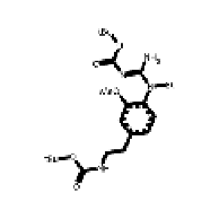 CCN(C(N)=NC(=O)OC(C)(C)C)c1ccc(CCNC(=O)OC(C)(C)C)cc1OC